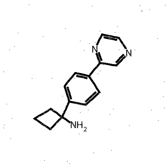 NC1(c2ccc(-c3cnccn3)cc2)CCC1